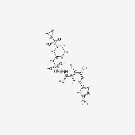 Cn1cnc(-c2cc(Cl)c(F)c(C(=O)NNS(=O)(=O)CC3CCCN(S(=O)(=O)C4CC4)C3)c2)c1